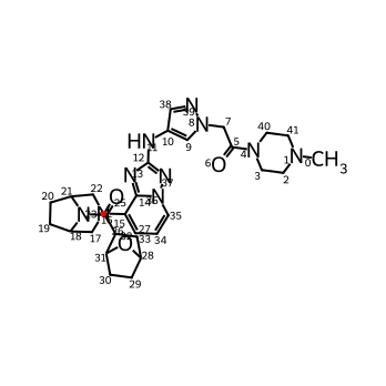 CN1CCN(C(=O)Cn2cc(Nc3nc4c(N5CC6CCC(C5)N6C(=O)C5CC6CCC5O6)cccn4n3)cn2)CC1